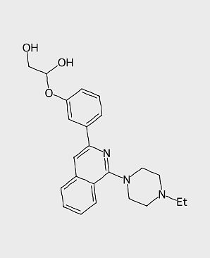 CCN1CCN(c2nc(-c3cccc(OC(O)CO)c3)cc3ccccc23)CC1